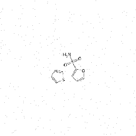 NS(=O)(=O)c1ccco1.c1ccsc1